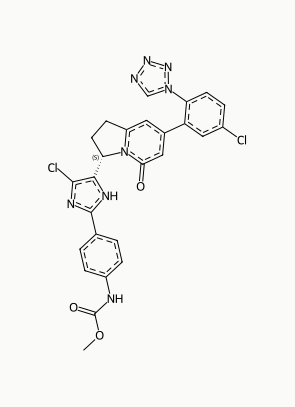 COC(=O)Nc1ccc(-c2nc(Cl)c([C@@H]3CCc4cc(-c5cc(Cl)ccc5-n5cnnn5)cc(=O)n43)[nH]2)cc1